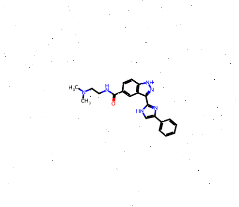 CN(C)CCNC(=O)c1ccc2[nH]nc(-c3nc(-c4ccccc4)c[nH]3)c2c1